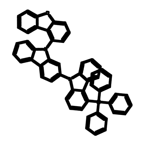 c1ccc([Si](c2ccccc2)(c2ccccc2)c2cccc3c2c2ccccc2n3-c2ccc3c4ccccc4n(-c4cccc5oc6ccccc6c45)c3c2)cc1